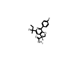 CCC(C)(F)c1cc2c(c(-c3ccc(F)cc3)n1)OC[C@]2(C)C(N)=O